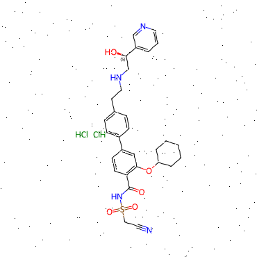 Cl.Cl.N#CCS(=O)(=O)NC(=O)c1ccc(-c2ccc(CCNC[C@@H](O)c3cccnc3)cc2)cc1OC1CCCCC1